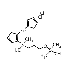 C[Si](C)(C)OCCC[Si](C)(C)C1=[C]([Zr+2][C]2=CC=CC2)CC=C1.[Cl-].[Cl-]